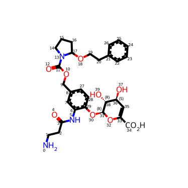 NCCC(=O)Nc1cc(COC(=O)N2CCCC2OCCc2ccccc2)ccc1O[C@@H]1OC(C(=O)O)=C[C@H](O)[C@H]1O